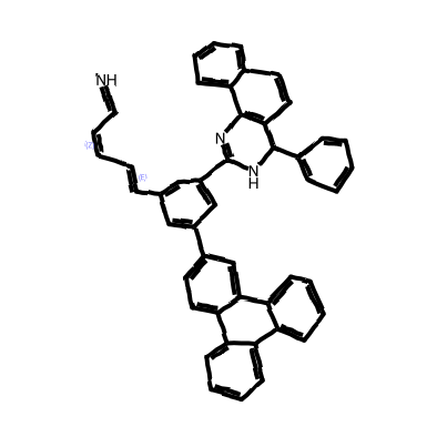 N=C/C=C\C=C\c1cc(C2=Nc3c(ccc4ccccc34)C(c3ccccc3)N2)cc(-c2ccc3c4ccccc4c4ccccc4c3c2)c1